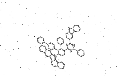 c1ccc(-c2ccc(-c3c(-n4c5cc6ccccc6cc5c5ccc6ccccc6c54)ccc(-c4nc(-c5ccccc5)nc(-c5ccc6sc7ccccc7c6c5)n4)c3-c3ccccc3)cc2)cc1